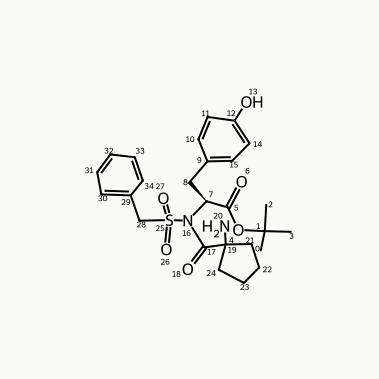 CC(C)(C)OC(=O)[C@H](Cc1ccc(O)cc1)N(C(=O)C1(N)CCCC1)S(=O)(=O)Cc1ccccc1